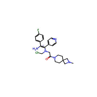 CN1CC2(CCN(C(=O)CN(CCl)/C(=C(\N)c3ccc(F)cc3)c3ccncc3)CC2)C1